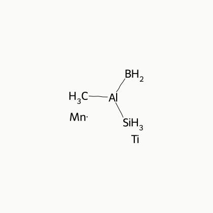 [BH2][Al]([CH3])[SiH3].[Mn].[Ti]